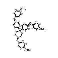 CCCCc1ccc(CC2CCC(c3ccc(Oc4ccc(N)cc4)cc3)(c3ccc(Oc4ccc(N)cc4)cc3)CC2)cc1